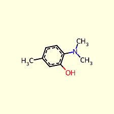 Cc1ccc(N(C)C)c(O)c1